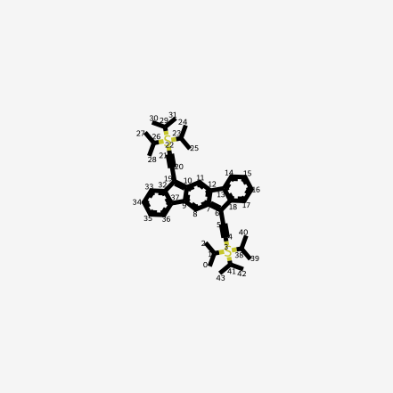 CC(C)S(C#CC1=c2cc3c(cc2-c2ccccc21)=C(C#CS(C(C)C)(C(C)C)C(C)C)c1ccccc1-3)(C(C)C)C(C)C